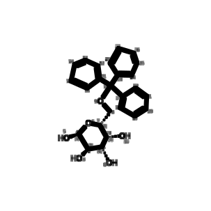 O[C@@H]1[C@@H](O)[C@@H](O)O[C@H](COC(c2ccccc2)(c2ccccc2)c2ccccc2)[C@@H]1O